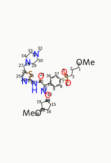 COCCCS(=O)(=O)c1ccc(/C(=N\O[C@@H]2CC[C@@H](OC)C2)C(=O)Nc2ncc(CN3CCN(C)CC3)s2)cc1